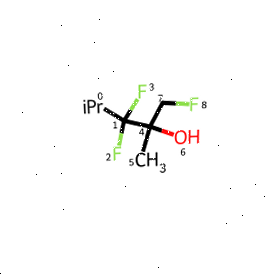 CC(C)C(F)(F)C(C)(O)CF